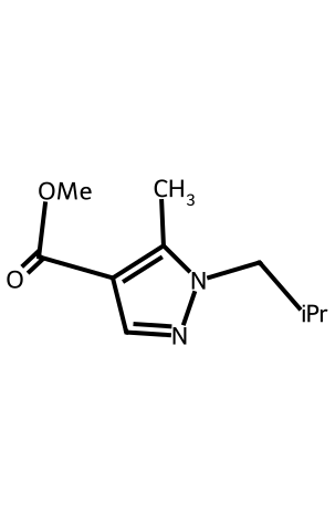 COC(=O)c1cnn(CC(C)C)c1C